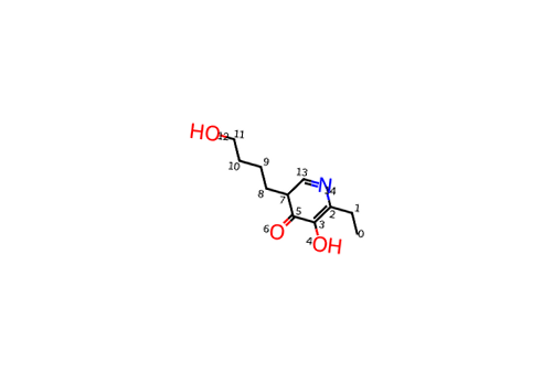 CCC1=C(O)C(=O)C(CCCCO)C=N1